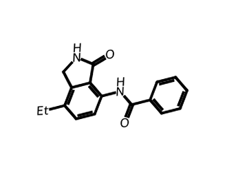 CCc1ccc(NC(=O)c2ccccc2)c2c1CNC2=O